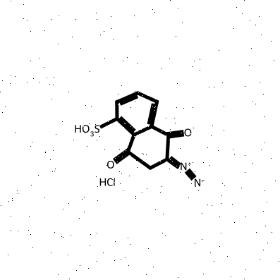 Cl.[N-]=[N+]=C1CC(=O)c2c(cccc2S(=O)(=O)O)C1=O